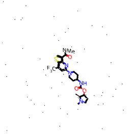 CNC(=O)c1csc2c(C(F)(F)F)cc(N3CCC(NC(=O)O[C@H]4CCN(C)[C@H]4C)CC3)nc12